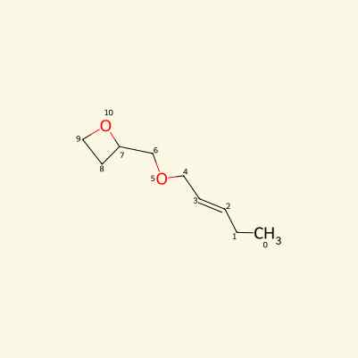 CCC=CCOCC1CCO1